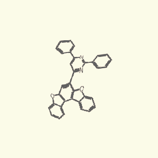 c1ccc(-c2cc(-c3cc4oc5ccccc5c4c4c3oc3ccccc34)nc(-c3ccccc3)n2)cc1